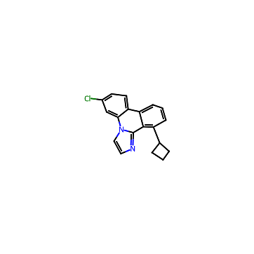 Clc1ccc2c3cccc(C4CCC4)c3c3nccn3c2c1